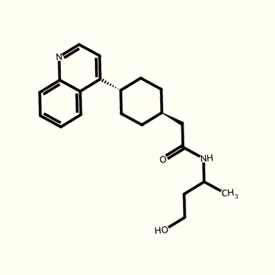 CC(CCO)NC(=O)C[C@H]1CC[C@H](c2ccnc3ccccc32)CC1